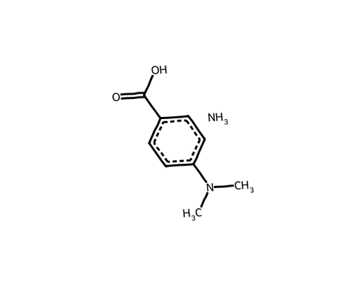 CN(C)c1ccc(C(=O)O)cc1.N